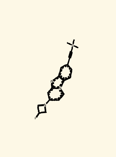 C[Si](C)(C)C#Cc1ccc2c(c1)nc1cc(N3CC(F)C3)ccn12